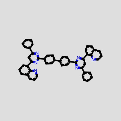 c1ccc(-c2cc(-c3cccc4cccnc34)nc(-c3ccc(-c4ccc(-c5nc(-c6ccccc6)cc(-c6cccc7cccnc67)n5)cc4)cc3)n2)cc1